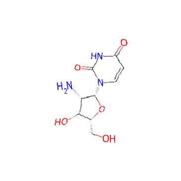 N[C@H]1C(O)[C@@H](CO)O[C@H]1n1ccc(=O)[nH]c1=O